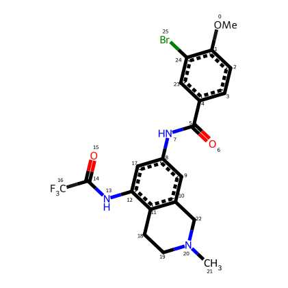 COc1ccc(C(=O)Nc2cc3c(c(NC(=O)C(F)(F)F)c2)CCN(C)C3)cc1Br